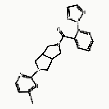 Cc1ccnc(N2CC3CN(C(=O)c4ccccc4-n4nccn4)CC3C2)n1